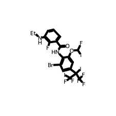 CCNc1cccc(C(=O)Nc2c(Br)cc(C(I)(C(F)(F)I)C(F)(F)I)cc2OC(F)I)c1F